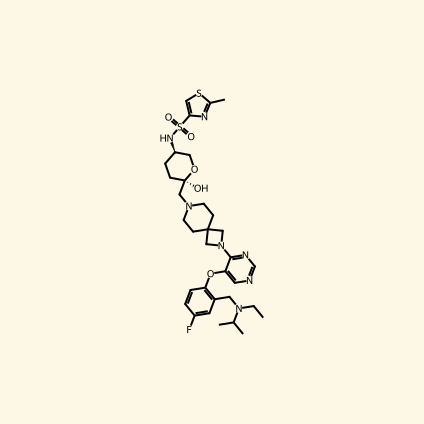 CCN(Cc1cc(F)ccc1Oc1cncnc1N1CC2(CCN(C[C@@]3(O)CC[C@@H](NS(=O)(=O)c4csc(C)n4)CO3)CC2)C1)C(C)C